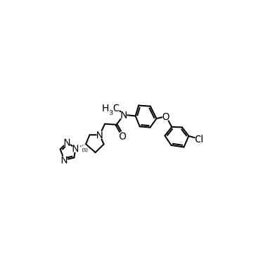 CN(C(=O)CN1CC[C@H](n2cncn2)C1)c1ccc(Oc2cccc(Cl)c2)cc1